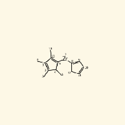 CC1=C(C)C(C)[C]([Zr][C]2=CC=CC2)=C1C